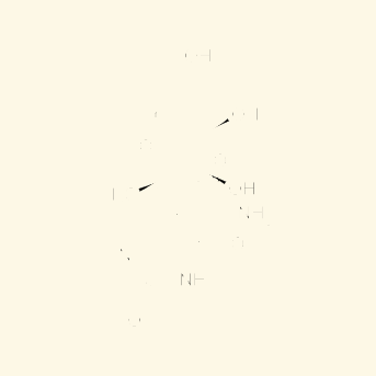 C[C@@]1(C2(C(N)=O)C=NC(=O)NC2=O)O[C@H](CO)[C@@H](O)[C@H]1O